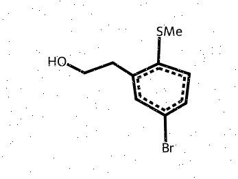 CSc1ccc(Br)cc1CCO